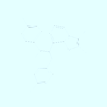 Cc1[nH]c2c(C(Cc3ccc(F)cc3)N(C)c3ccc(F)cc3)nccc2c1C